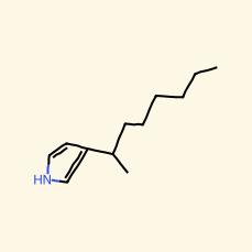 CCCCCCC(C)c1cc[nH]c1